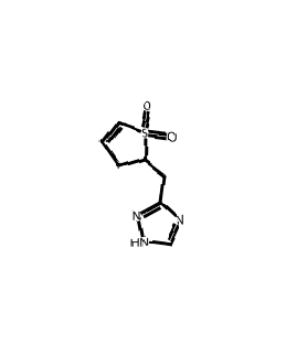 O=S1(=O)C=C[CH]C1Cc1nc[nH]n1